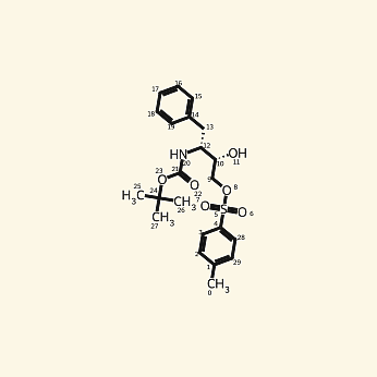 Cc1ccc(S(=O)(=O)OC[C@@H](O)[C@@H](Cc2ccccc2)NC(=O)OC(C)(C)C)cc1